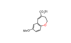 CCOC(=O)C1=Cc2cc(OC)ccc2OCC1